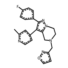 Cc1cc(-c2c(-c3ccc(F)cc3)nn3c2CN(Cc2ccon2)CC3)ccn1